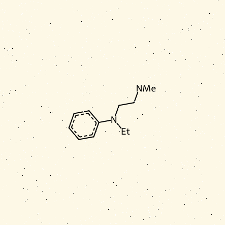 CCN(CCNC)c1ccccc1